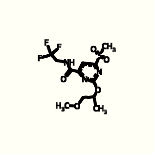 COCC(C)Oc1nc(C(=O)NCC(F)(F)F)cc(S(C)(=O)=O)n1